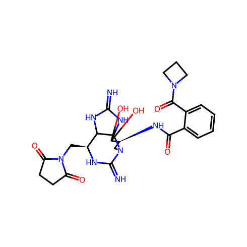 N=C1NC2[C@H](CN3C(=O)CCC3=O)NC(=N)N3C[C@H](NC(=O)c4ccccc4C(=O)N4CCC4)C(O)(O)C23N1